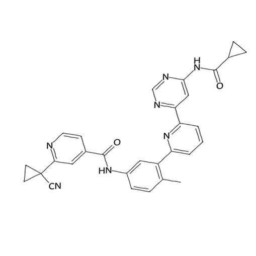 Cc1ccc(NC(=O)c2ccnc(C3(C#N)CC3)c2)cc1-c1cccc(-c2cc(NC(=O)C3CC3)ncn2)n1